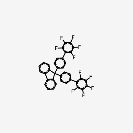 Fc1c(F)c(F)c(-c2ccc(C3(c4ccc(-c5c(F)c(F)c(F)c(F)c5F)cc4)c4ccccc4-c4ccccc43)cc2)c(F)c1F